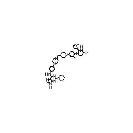 Cc1cc(N2CCC(CN3CCN(c4ccc(Nc5nc(N6CCCCC6)nc6[nH]cnc56)cc4)CC3)CC2)ccc1N1CCC(=O)NC1=C1CC=CO1